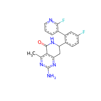 Cc1nc(N)nc2c1C(=O)NC(c1ccc(F)cc1-c1cccnc1F)C2